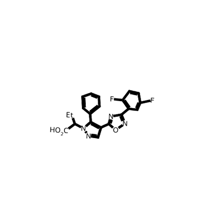 CCC(C(=O)O)n1ncc(-c2nc(-c3cc(F)ccc3F)no2)c1-c1ccccc1